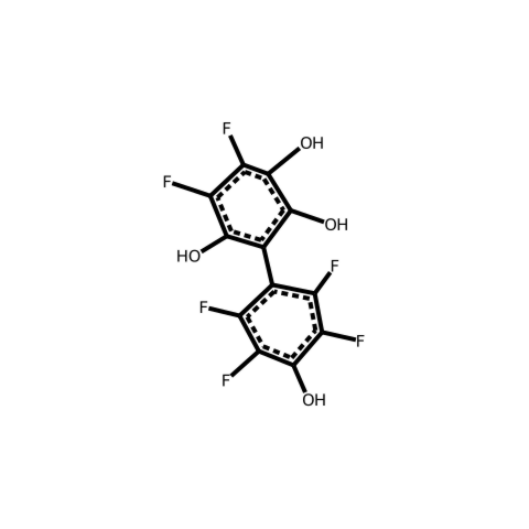 Oc1c(O)c(-c2c(F)c(F)c(O)c(F)c2F)c(O)c(F)c1F